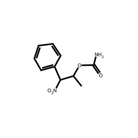 CC(OC(N)=O)C(c1ccccc1)[N+](=O)[O-]